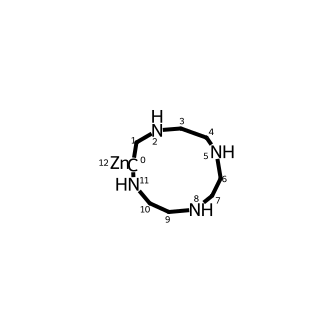 C1CNCCNCCNCCN1.[Zn]